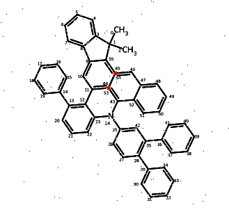 CC1(C)c2ccccc2-c2cc(-c3c(-c4ccccc4)cccc3N(c3ccc(-c4ccccc4)c(-c4ccccc4)c3)c3cccc4ccccc34)ccc21